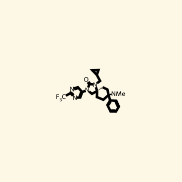 CN[C@]1(c2ccccc2)CC[C@]2(CC1)CN(c1cnc(C(F)(F)F)nc1)C(=O)N2CC1CC1